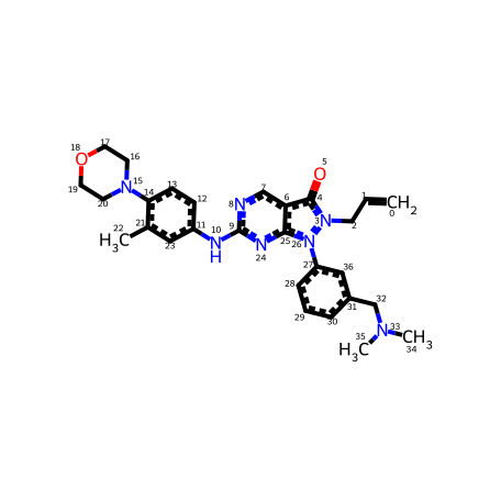 C=CCn1c(=O)c2cnc(Nc3ccc(N4CCOCC4)c(C)c3)nc2n1-c1cccc(CN(C)C)c1